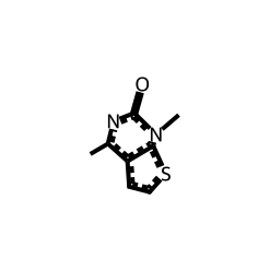 Cc1nc(=O)n(C)c2sccc12